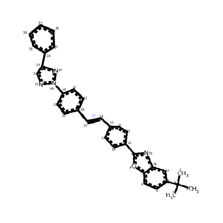 CC(C)(C)c1ccc2oc(-c3ccc(/C=C/c4ccc(-n5ncc(-c6ccccc6)n5)cc4)cc3)nc2c1